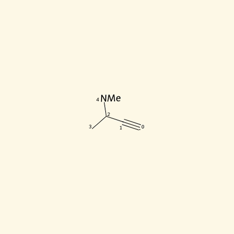 [C]#CC(C)NC